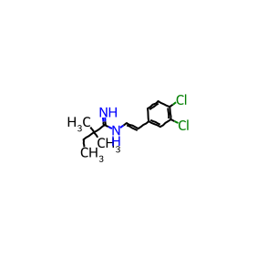 CCC(C)(C)C(=N)NC=Cc1ccc(Cl)c(Cl)c1